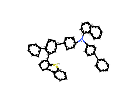 c1ccc(-c2ccc(N(c3ccc(-c4ccc(-c5ccccc5)c(-c5cccc6c5sc5ccccc56)c4)cc3)c3cccc4ccccc34)cc2)cc1